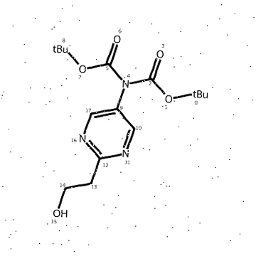 CC(C)(C)OC(=O)N(C(=O)OC(C)(C)C)c1cnc(CCO)nc1